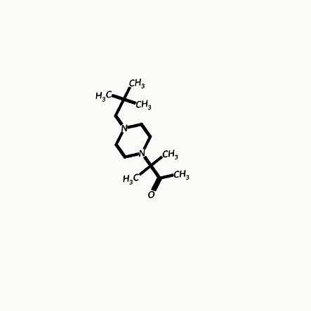 CC(=O)C(C)(C)N1CCN(CC(C)(C)C)CC1